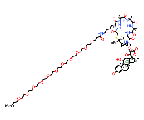 CCCC(CC)(SCC(=O)N[C@@H](CCCCNC(=O)CCOCCOCCOCCOCCOCCOCCOCCOCCOCCOCCOCCOC)C(=O)N[C@@H](C)C(=O)N[C@@H](C)C(=O)N[C@@H](C)C(=O)NCC(=O)NCOCC(=O)[C@@]1(OC(=O)CC)[C@@H](C)CC2[C@@H]3CCC4=CC(=O)C=C[C@]4(C)[C@@]3(Cl)[C@@H](O)C[C@@]21C)C1CC12CC2